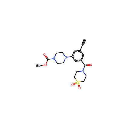 C#Cc1cc(C(=O)N2CCS(=O)(=O)CC2)cc(N2CCN(C(=O)OC(C)(C)C)CC2)c1